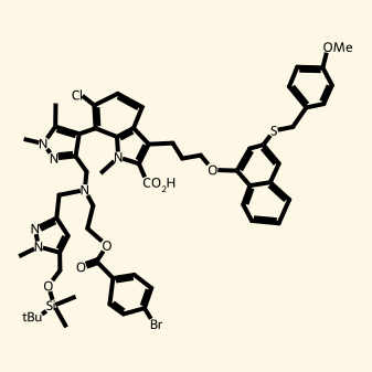 COc1ccc(CSc2cc(OCCCc3c(C(=O)O)n(C)c4c(-c5c(CN(CCOC(=O)c6ccc(Br)cc6)Cc6cc(CO[Si](C)(C)C(C)(C)C)n(C)n6)nn(C)c5C)c(Cl)ccc34)c3ccccc3c2)cc1